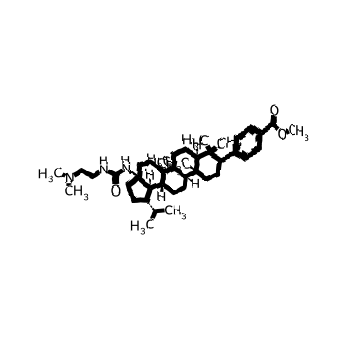 COC(=O)c1ccc(C2CC[C@]3(C)[C@H]4CC[C@@H]5[C@H]6[C@H](C(C)C)CC[C@]6(NC(=O)NCCN(C)C)CC[C@@]5(C)[C@]4(C)CC[C@H]3C2(C)C)cc1